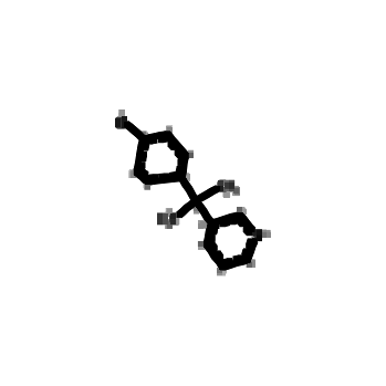 CC(C)(c1ccc(Cl)cc1)c1cccnc1